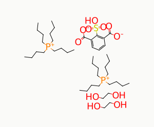 CCCC[P+](CCCC)(CCCC)CCCC.CCCC[P+](CCCC)(CCCC)CCCC.O=C([O-])c1cccc(C(=O)[O-])c1S(=O)(=O)O.OCCO.OCCO